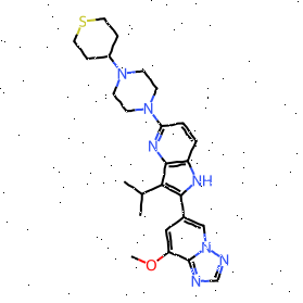 COc1cc(-c2[nH]c3ccc(N4CCN(C5CCSCC5)CC4)nc3c2C(C)C)cn2ncnc12